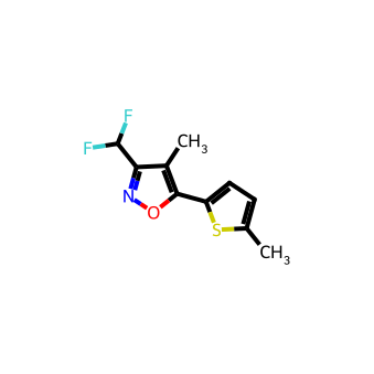 Cc1ccc(-c2onc(C(F)F)c2C)s1